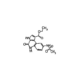 CCOC(=O)c1c[nH]c2c(=O)[nH]c3ccc(NS(C)(=O)=O)cc3c12